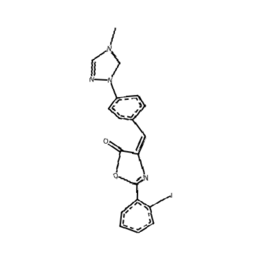 CN1C=NN(c2ccc(/C=C3/N=C(c4ccccc4I)OC3=O)cc2)C1